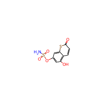 NS(=O)(=O)Oc1cc(O)c2ccc(=O)sc2c1